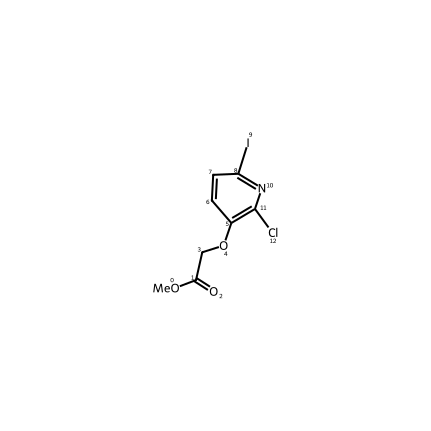 COC(=O)COc1ccc(I)nc1Cl